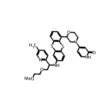 COCCOCC(Nc1ccc2c(c1)Sc1cccc(C3CN(c4cc[nH]c(=O)c4)CCO3)c1S2)c1ccc(C)cn1